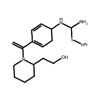 C=C(C1=CCC(NC(N)SCCC)C=C1)N1CCCCC1CCO